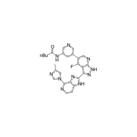 CCCCC(=O)Nc1cncc(-c2cnc3[nH]nc(-c4nc5c(-n6cnc(C)c6)nccc5[nH]4)c3c2F)c1